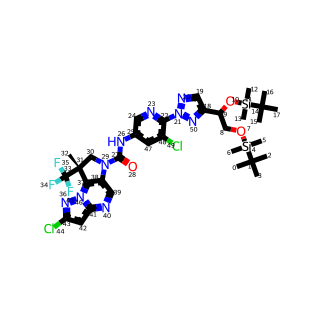 CC(C)(C)[Si](C)(C)OCC(O[Si](C)(C)C(C)(C)C)c1cnn(-c2ncc(NC(=O)N3C[C@@](C)(C(F)(F)F)c4c3cnc3cc(Cl)nn43)cc2Cl)n1